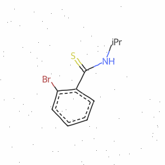 CC(C)NC(=S)c1ccccc1Br